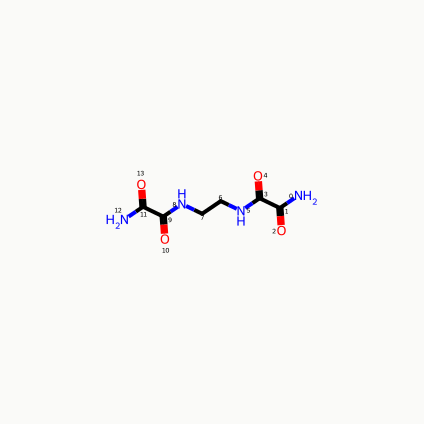 NC(=O)C(=O)NCCNC(=O)C(N)=O